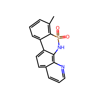 Cc1cccc2c1S(=O)(=O)Nc1c-2ccc2cccnc12